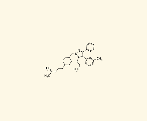 C=C(C)CCCC1CCC(Cn2nc(-c3ccccc3)c(-c3cccc(C)c3)c2CCP)CC1